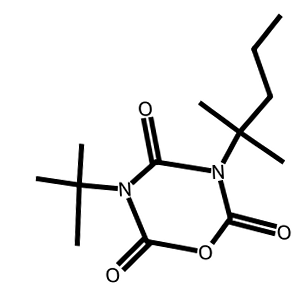 CCCC(C)(C)n1c(=O)oc(=O)n(C(C)(C)C)c1=O